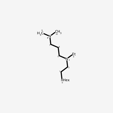 CCCCCCCCN(CC)CCCN(C)C